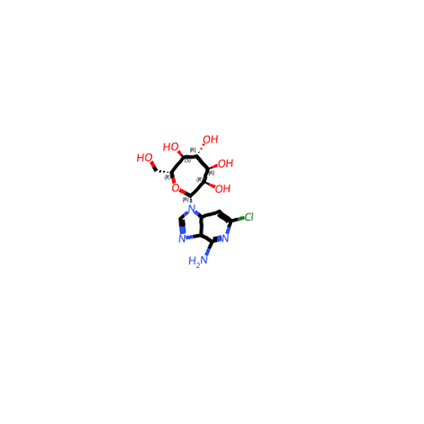 NC1=NC(Cl)=CC2C1N=CN2[C@@H]1O[C@H](CO)[C@@H](O)[C@H](O)[C@@H](O)[C@H]1O